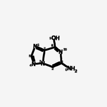 Nc1cn2ncnc2c(O)n1